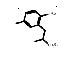 CCOC(=O)C(C)Cc1cc(C)ccc1OC